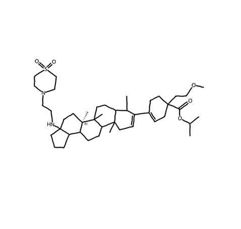 COCCC1(C(=O)OC(C)C)CC=C(C2=CCC3(C)C(CCC4(C)C3CCC3C5CCCC5(NCCN5CCS(=O)(=O)CC5)CC[C@]34C)C2C)CC1